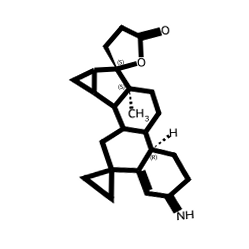 C[C@]12CCC3C(CC4(CC4)C4=CC(=N)CC[C@@H]43)C1C1CC1[C@@]21CCC(=O)O1